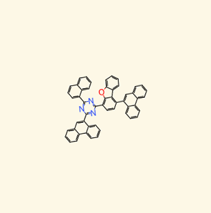 c1ccc2c(-c3nc(-c4cc5ccccc5c5ccccc45)nc(-c4ccc(-c5cc6ccccc6c6ccccc56)c5c4oc4ccccc45)n3)cccc2c1